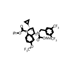 COC(=O)N(Cc1cc(C(F)(F)F)cc(C(F)(F)F)c1)[C@H]1C[C@@H](C2CC2)N(C(=O)OC(C)C)c2ccc(OC(F)(F)F)cc21